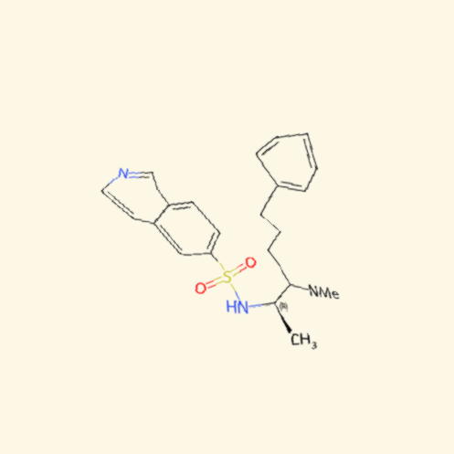 CNC(CCCc1ccccc1)[C@@H](C)NS(=O)(=O)c1ccc2cnccc2c1